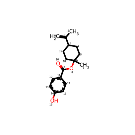 C=C(C)C1CCC(C)(OC(=O)c2ccc(O)cc2)CC1